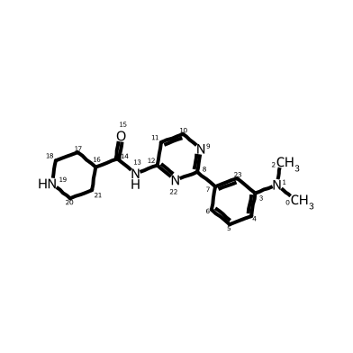 CN(C)c1cccc(-c2nccc(NC(=O)C3CCNCC3)n2)c1